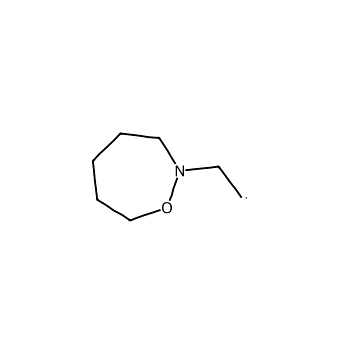 [CH2]CN1CCCCCO1